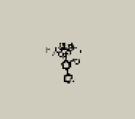 CC1(C)OB(c2ccc(-c3cccnc3)cc2C=O)OC1(C)C